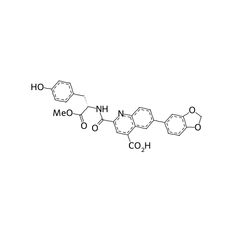 COC(=O)[C@H](Cc1ccc(O)cc1)NC(=O)c1cc(C(=O)O)c2cc(-c3ccc4c(c3)OCO4)ccc2n1